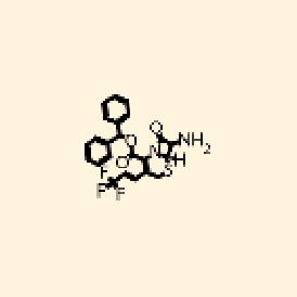 NC1C(=O)N2C(C(=O)OC(c3ccccc3)c3ccccc3)=C(C=CC(F)(F)F)CS[C@@H]12